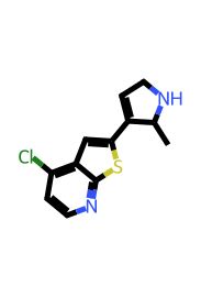 CC1NCC=C1c1cc2c(Cl)ccnc2s1